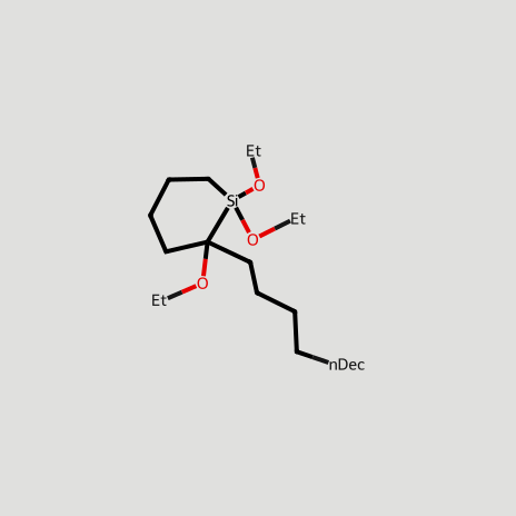 CCCCCCCCCCCCCCC1(OCC)CCCC[Si]1(OCC)OCC